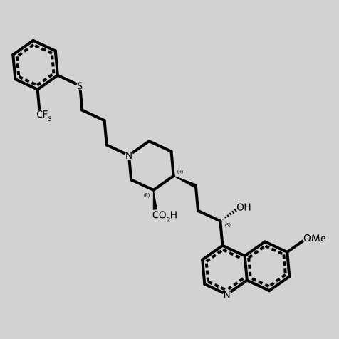 COc1ccc2nccc([C@@H](O)CC[C@@H]3CCN(CCCSc4ccccc4C(F)(F)F)C[C@@H]3C(=O)O)c2c1